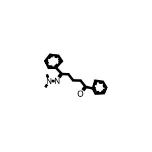 CN(C)N=C(CCCC(=O)c1ccccc1)c1ccccc1